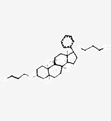 C[C@]12CC[C@H](OCCCO)C[C@H]1CC[C@@H]1[C@@H]2CC[C@]2(C)[C@@](OCCCO)(c3ccccc3)CC[C@]12O